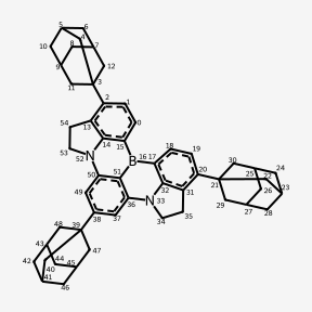 c1cc(C23CC4CC(CC(C4)C2)C3)c2c3c1B1c4ccc(C56CC7CC(CC(C7)C5)C6)c5c4N(CC5)c4cc(C56CC7CC(CC(C7)C5)C6)cc(c41)N3CC2